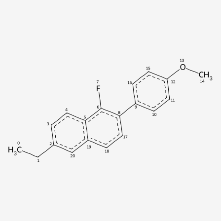 CCc1ccc2c(F)c(-c3ccc(OC)cc3)ccc2c1